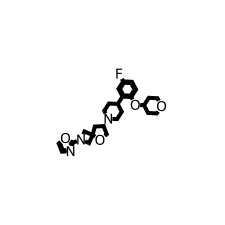 Fc1ccc(OC2CCOCC2)c(C2CCN([C@@H]3COC4(C3)CN(c3ncco3)C4)CC2)c1